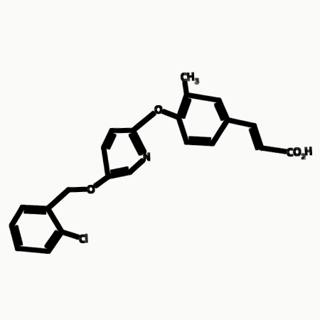 Cc1cc(/C=C/C(=O)O)ccc1Oc1ccc(OCc2ccccc2Cl)cn1